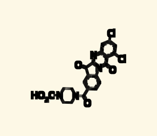 O=C1c2cc(C(=O)N3CCN(C(=O)O)CC3)ccc2-n2c1nc1cc(Cl)cc(Cl)c1c2=O